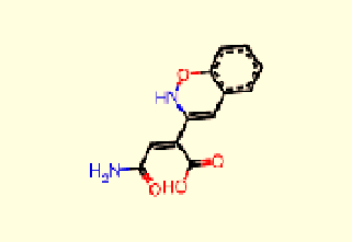 NC(=O)/C=C(\C(=O)O)C1=Cc2ccccc2ON1